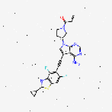 C=CC(=O)N1CC[C@H](n2cc(C#Cc3c(F)cc4sc(C5CC5)nc4c3F)c3c(N)ncnc32)C1